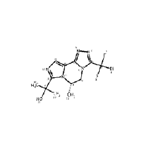 CCC(F)(F)c1nnc2n1C[C@H](C)n1c-2cnc1C(C)(O)C(F)(F)F